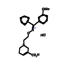 COc1cccc(/C(=N/OCCN2CCC=C(C(=O)O)C2)c2ccccc2)c1.Cl